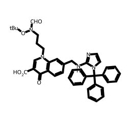 CC(C)(C)ON(C=O)CCCn1cc(C(=O)O)c(=O)c2ccc(CNc3nccn3C(c3ccccc3)(c3ccccc3)c3ccccc3)cc21